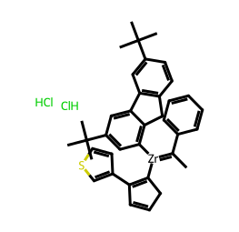 C/[C](c1ccccc1)=[Zr](\[C]1=C(c2ccsc2)C=CC1)[c]1cc(C(C)(C)C)cc2c1Cc1ccc(C(C)(C)C)cc1-2.Cl.Cl